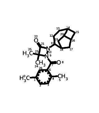 Cc1ccc(C)c(C(=O)N2N(C3CCC4CC5CC3CC45)C(=O)C2(C)C)c1